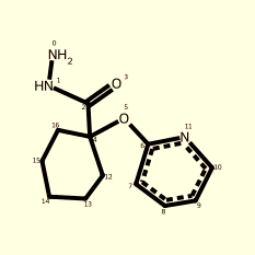 NNC(=O)C1(Oc2ccccn2)CCCCC1